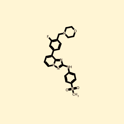 CS(=O)(=O)c1ccc(Nc2nc3c(-c4ccc(CN5CCOCC5)c(F)c4)cccn3n2)cc1